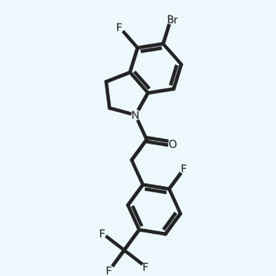 O=C(Cc1cc(C(F)(F)F)ccc1F)N1CCc2c1ccc(Br)c2F